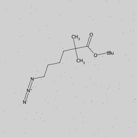 CC(C)(C)OC(=O)C(C)(C)CCCCN=[N+]=[N-]